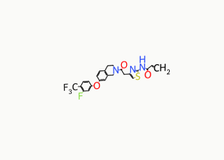 C=CC(=O)Nc1nc(CC(=O)N2CCc3ccc(Oc4ccc(C(F)(F)F)c(F)c4)cc3C2)cs1